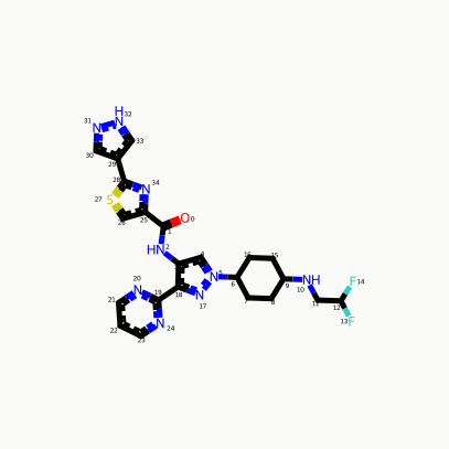 O=C(Nc1cn(C2CCC(NCC(F)F)CC2)nc1-c1ncccn1)c1csc(-c2cn[nH]c2)n1